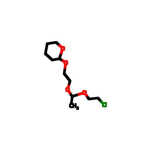 CC(OCCCl)OCCOC1CCCCO1